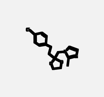 Cc1nccn1CC1(CCc2ccc(Cl)cc2)OCCO1